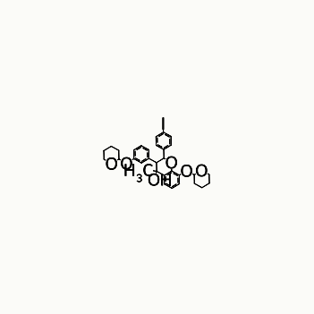 CC1(O)c2cccc(OC3CCCCO3)c2OC(c2ccc(I)cc2)C1c1cccc(OC2CCCCO2)c1